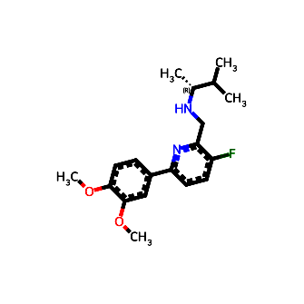 COc1ccc(-c2ccc(F)c(CN[C@H](C)C(C)C)n2)cc1OC